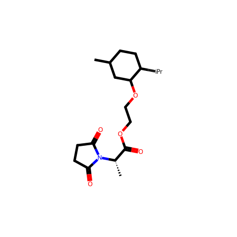 CC1CCC(C(C)C)C(OCCOC(=O)[C@H](C)N2C(=O)CCC2=O)C1